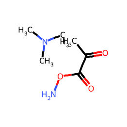 CC(=O)C(=O)ON.CN(C)C